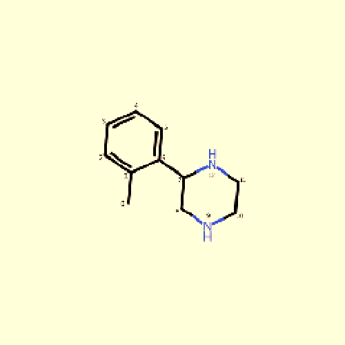 Cc1ccccc1C1CNCCN1